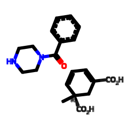 C[C@]1(C(=O)O)C=CC=C(C(=O)O)C1.O=C(c1ccccc1)N1CCNCC1